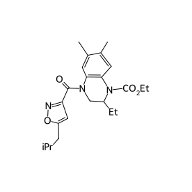 CCOC(=O)N1c2cc(C)c(C)cc2N(C(=O)c2cc(CC(C)C)on2)CC1CC